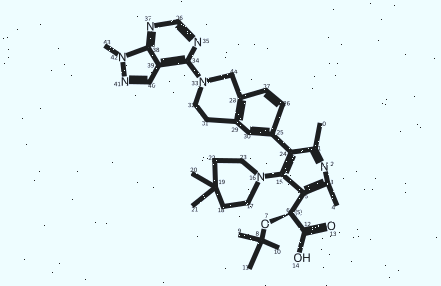 Cc1nc(C)c([C@H](OC(C)(C)C)C(=O)O)c(N2CCC(C)(C)CC2)c1-c1ccc2c(c1)CCN(c1ncnc3c1cnn3C)C2